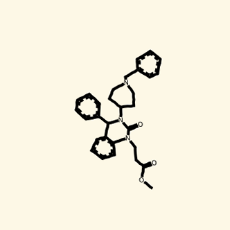 COC(=O)CCN1C(=O)N(C2CCN(Cc3ccccc3)CC2)C(c2ccccc2)c2ccccc21